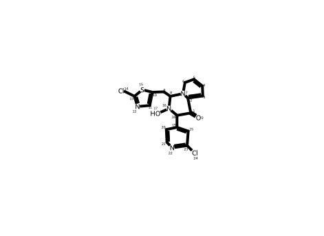 O=C1C2=CC=CCN2C(Cc2cnc(Cl)s2)N(O)C1c1ccnc(Cl)c1